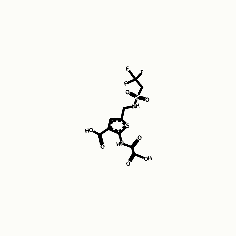 O=C(O)C(=O)Nc1sc(CNS(=O)(=O)CC(F)(F)F)cc1C(=O)O